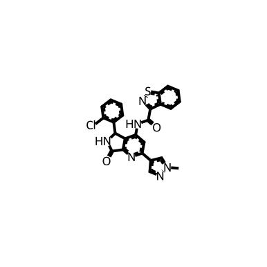 Cn1cc(-c2cc(NC(=O)c3nsc4ccccc34)c3c(n2)C(=O)NC3c2ccccc2Cl)cn1